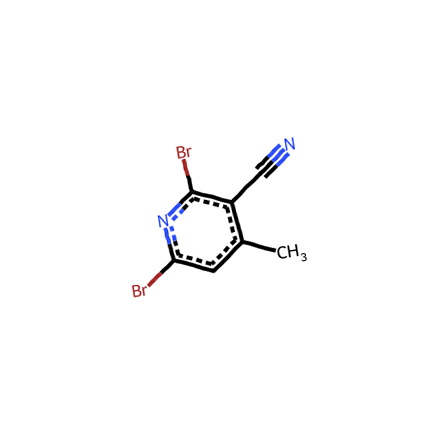 Cc1cc(Br)nc(Br)c1C#N